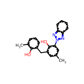 Cc1cc(Cc2cccc(C)c2O)c(O)c(-n2nc3ccccc3n2)c1